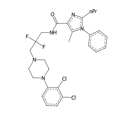 CCCc1nc(C(=O)NCC(F)(F)CN2CCN(c3cccc(Cl)c3Cl)CC2)c(C)n1-c1ccccc1